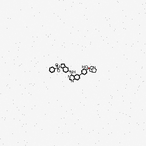 O=S(=O)(c1ccccc1)n1ccc2cc(Nc3ncnc4ccc(-c5ccc(CC6C7CCN6CC(O)C7)cc5)cc34)ccc21